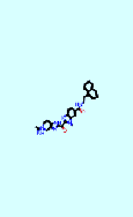 CC(=N)N1CCc2[nH]c(C(=O)c3nc4ccc(C(=O)NCCc5cccc6ccccc56)cc4n3C)nc2C1